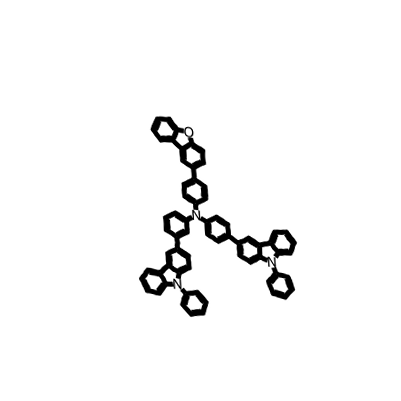 c1ccc(-n2c3ccccc3c3cc(-c4ccc(N(c5ccc(-c6ccc7oc8ccccc8c7c6)cc5)c5cccc(-c6ccc7c(c6)c6ccccc6n7-c6ccccc6)c5)cc4)ccc32)cc1